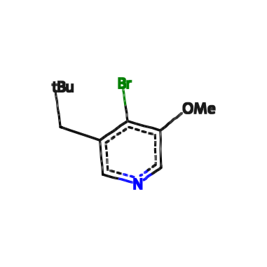 COc1cncc(CC(C)(C)C)c1Br